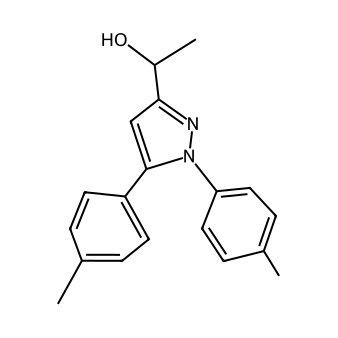 Cc1ccc(-c2cc(C(C)O)nn2-c2ccc(C)cc2)cc1